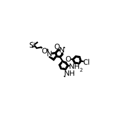 CNc1ccc(-c2cn(C)c(=O)c3c2ccn3COCC[Si](C)(C)C)c(Oc2ccc(Cl)cc2)c1N